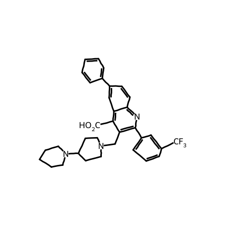 O=C(O)c1c(CN2CCC(N3CCCCC3)CC2)c(-c2cccc(C(F)(F)F)c2)nc2ccc(-c3ccccc3)cc12